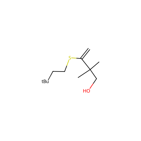 C=C(SCCC(C)(C)C)C(C)(C)CO